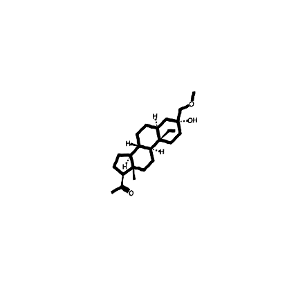 CC[C@]12CC[C@](O)(COC)C[C@@H]1CC[C@H]1[C@@H]3CC[C@H](C(C)=O)[C@@]3(C)CC[C@@H]12